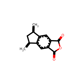 C=C1CC(=C)c2cc3c(cc21)C(=O)OC3=O